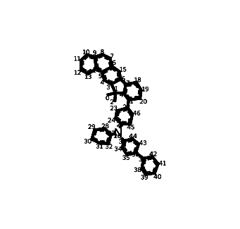 CC1(C)c2cc3c(ccc4ccccc43)cc2-c2cccc(-c3ccc(N(c4ccccc4)c4ccc(-c5ccccc5)cc4)cc3)c21